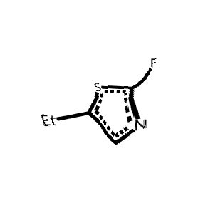 CCc1cnc(F)s1